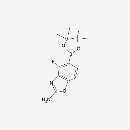 CC1(C)OB(c2ccc3oc(N)nc3c2F)OC1(C)C